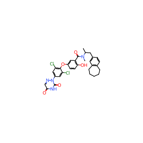 CC(Cc1ccc2c(c1)CCCCC2)N(C)C(=O)c1cc(Oc2c(Cl)cc(-n3ncc(=O)[nH]c3=O)cc2Cl)ccc1O